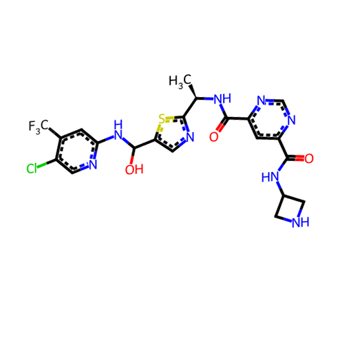 C[C@@H](NC(=O)c1cc(C(=O)NC2CNC2)ncn1)c1ncc(C(O)Nc2cc(C(F)(F)F)c(Cl)cn2)s1